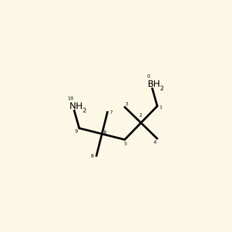 BCC(C)(C)CC(C)(C)CN